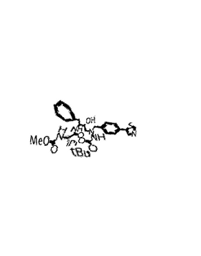 COC(=O)N[C@H](C(=O)NC(Cc1ccccc1)C(O)CN(Cc1ccc(-c2cncs2)cc1)NC(=O)OC(C)(C)C)C(C)C